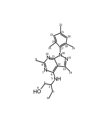 CCC(CO)Nc1nc(C)nc2c1c(C)nn2-c1c(C)cc(C)cc1C